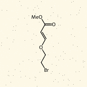 COC(=O)C=COCCBr